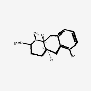 COC1CC[C@@H]2Cc3c(Br)cccc3C[C@H]2N1C